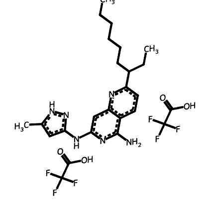 CCCCCCC(CC)c1ccc2c(N)nc(Nc3cc(C)[nH]n3)cc2n1.O=C(O)C(F)(F)F.O=C(O)C(F)(F)F